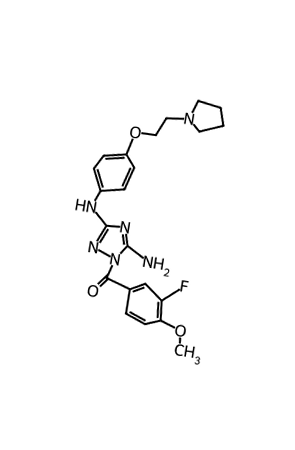 COc1ccc(C(=O)n2nc(Nc3ccc(OCCN4CCCC4)cc3)nc2N)cc1F